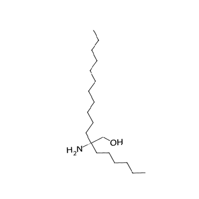 CCCCCCCCCCCC(N)(CO)CCCCCC